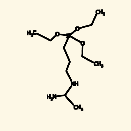 CCO[Si](CCCNC(C)N)(OCC)OCC